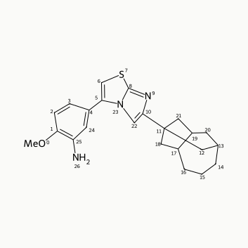 COc1ccc(-c2csc3nc(C45CC6CCCC(C4)C(C6)C5)cn23)cc1N